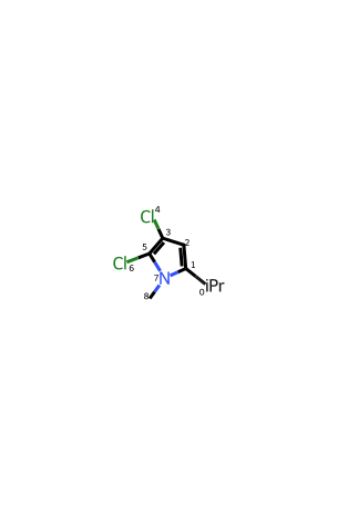 CC(C)c1cc(Cl)c(Cl)n1C